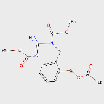 CCC(=O)OSc1ccccc1CN(C(=O)OC(C)(C)C)C(N)=NC(=O)OC(C)(C)C